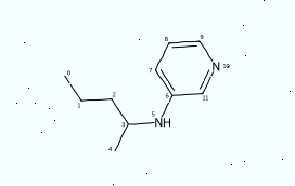 CCCC(C)Nc1cccnc1